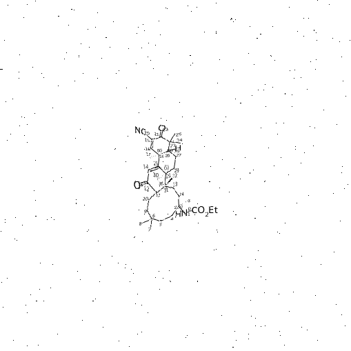 CCOC(=O)N[C@@]1(C)CCC(C)(C)CCC2C(=O)C=C3[C@@]4(C)C=C(C#N)C(=O)C(C)(C)[C@@H]4CC[C@@]3(C)[C@]2(C)CC1